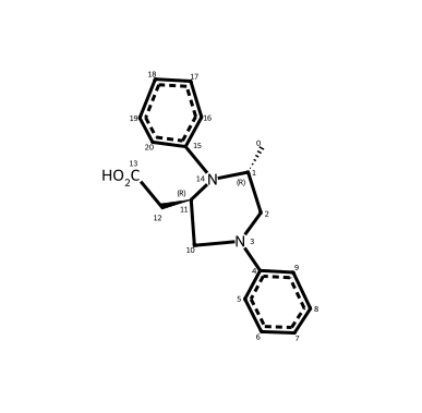 C[C@@H]1CN(c2ccccc2)C[C@@H](CC(=O)O)N1c1ccccc1